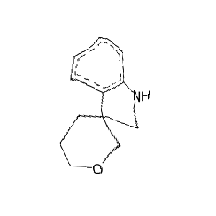 c1ccc2c(c1)NCC21CCCOC1